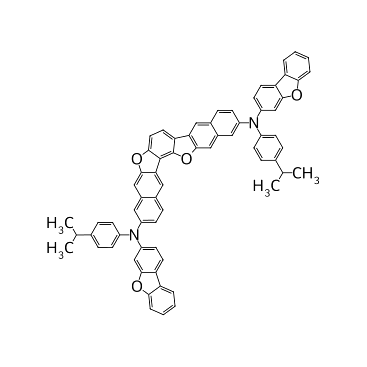 CC(C)c1ccc(N(c2ccc3cc4c(cc3c2)oc2c4ccc3oc4cc5cc(N(c6ccc(C(C)C)cc6)c6ccc7c(c6)oc6ccccc67)ccc5cc4c32)c2ccc3c(c2)oc2ccccc23)cc1